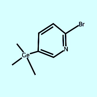 [CH3][Ge]([CH3])([CH3])[c]1ccc(Br)nc1